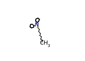 CCCCCCCCCSN(c1ccccc1)c1ccccc1